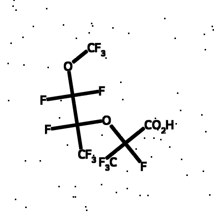 O=C(O)C(F)(OC(F)(C(F)(F)F)C(F)(F)OC(F)(F)F)C(F)(F)F